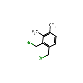 FC(F)(F)c1ccc(CBr)c(CBr)c1C(F)(F)F